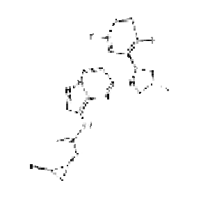 Fc1ccc(F)c([C@H]2C[C@H](F)CN2c2ccn3ncc(NC(=S)N[C@H]4C[C@H]4F)c3n2)c1